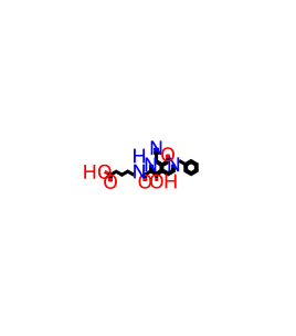 N#Cc1nc(C(=O)NCCCCC(=O)O)c(O)c2ccn(Cc3ccccc3)c(=O)c12